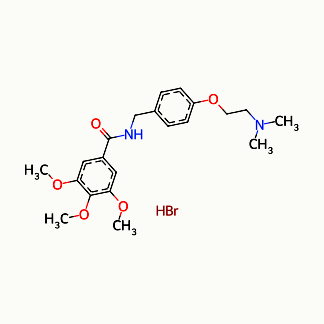 Br.COc1cc(C(=O)NCc2ccc(OCCN(C)C)cc2)cc(OC)c1OC